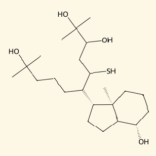 CC(C)(O)CCCC(C(S)CC(O)C(C)(C)O)[C@H]1CCC2[C@@H](O)CCC[C@@]21C